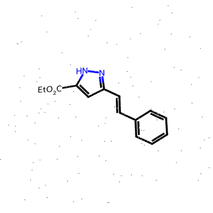 CCOC(=O)c1cc(/C=C/c2ccccc2)n[nH]1